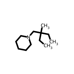 CCC(C)(CC)CN1CCCCC1